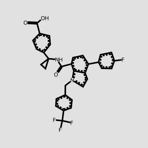 O=C(O)c1ccc(C2(NC(=O)c3ccc(-c4ccc(F)cc4)c4ccn(Cc5ccc(C(F)(F)F)cc5)c34)CC2)cc1